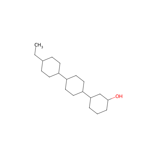 CCC1CCC(C2CCC(C3CCCC(O)C3)CC2)CC1